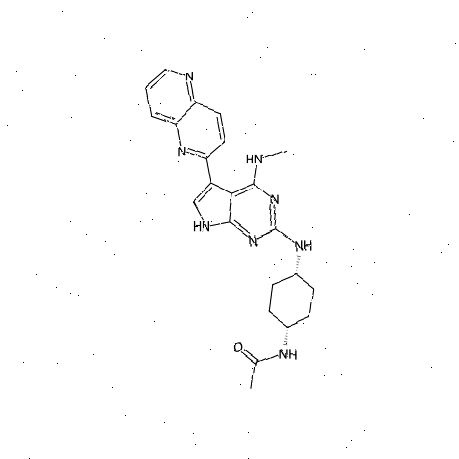 CNc1nc(N[C@H]2CC[C@@H](NC(C)=O)CC2)nc2[nH]cc(-c3ccc4ncccc4n3)c12